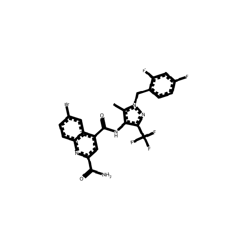 Cc1c(NC(=O)c2cc(C(N)=O)nc3ccc(Br)cc23)c(C(F)(F)F)nn1Cc1ccc(F)cc1F